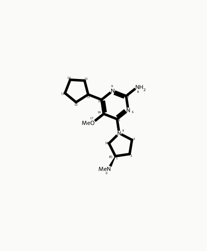 CN[C@@H]1CCN(c2nc(N)nc(C3CCCC3)c2OC)C1